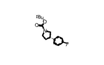 CC(C)(C)OC(=O)N1CC[C@@H](c2ccc(F)cc2)C1